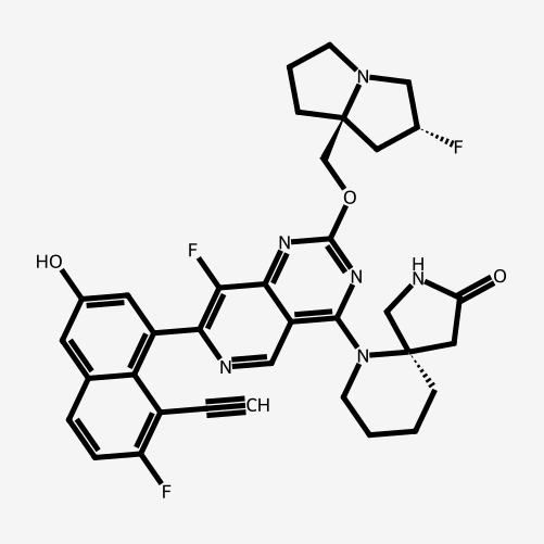 C#Cc1c(F)ccc2cc(O)cc(-c3ncc4c(N5CCCC[C@@]56CNC(=O)C6)nc(OC[C@@]56CCCN5C[C@H](F)C6)nc4c3F)c12